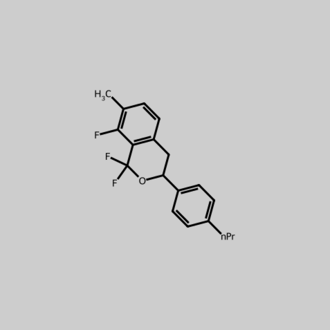 CCCc1ccc(C2Cc3ccc(C)c(F)c3C(F)(F)O2)cc1